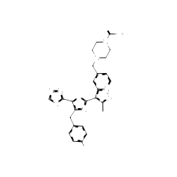 Cc1nn2ccc(CN3CCN(C(=O)O)CC3)cc2c1-c1nc(Cc2ccc(Cl)cc2)c(-c2nnc[nH]2)s1